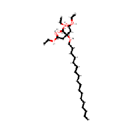 CCCCCCCCCCCCCCCCCCOC(CC(=O)OCC)(CC(=O)OCC)C(=O)OCC